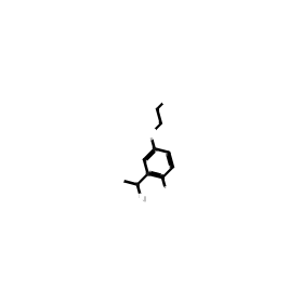 CC(N)c1cc(OCCO)ccc1F